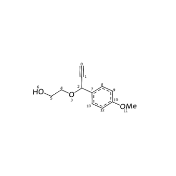 C#CC(OCCO)c1ccc(OC)cc1